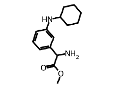 COC(=O)C(N)c1cccc(NC2CCCCC2)c1